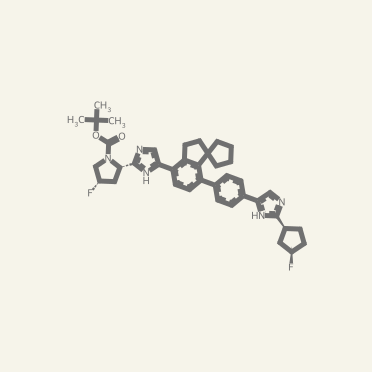 CC(C)(C)OC(=O)N1C[C@@H](F)C[C@H]1c1ncc(-c2ccc(-c3ccc(-c4cnc([C@H]5CC[C@@H](F)C5)[nH]4)cc3)c3c2CCC32CCCC2)[nH]1